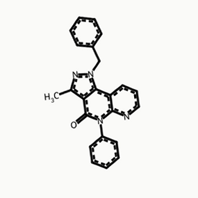 Cc1nn(Cc2ccccc2)c2c1c(=O)n(-c1ccccc1)c1ncccc21